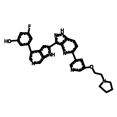 Oc1cc(F)cc(-c2cncc3[nH]c(-c4n[nH]c5ccc(-c6cncc(OCCN7CCCC7)c6)nc45)cc23)c1